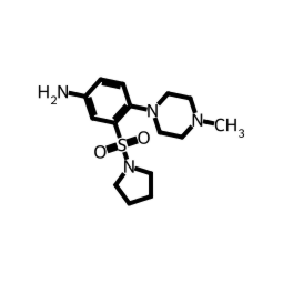 CN1CCN(c2ccc(N)cc2S(=O)(=O)N2CCCC2)CC1